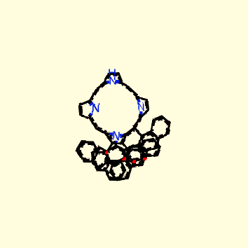 C1=Cc2cc3c(-c4c5ccccc5cc5ccccc45)c(-c4c5ccccc5cc5ccccc45)c(c(-c4c5ccccc5cc5ccccc45)c4nc(cc5ccc(cc1n2)[nH]5)C=C4)n3-c1c2ccccc2cc2ccccc12